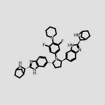 Fc1cc(N2[C@@H](c3ccc4nc([C@H]5NC6CCC5C6)[nH]c4c3)CC[C@@H]2c2ccc3nc([C@H]4NC5CCC4C5)[nH]c3c2)cc(F)c1N1CCCCC1